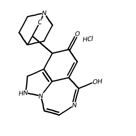 Cl.O=C1C=C2C(O)=NC=CN3NCC(=C23)C1C1CN2CCC1CC2